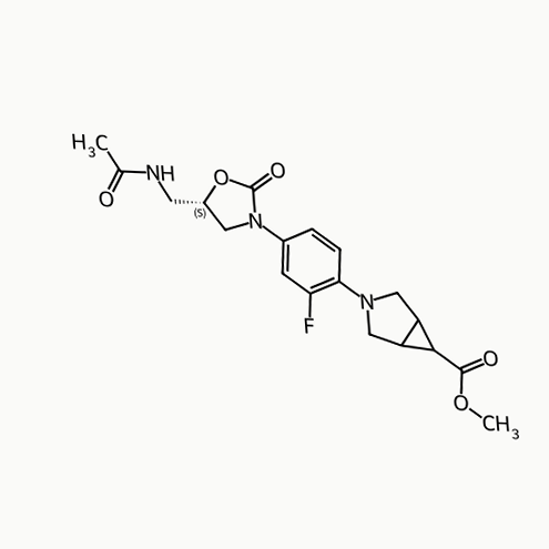 COC(=O)C1C2CN(c3ccc(N4C[C@H](CNC(C)=O)OC4=O)cc3F)CC21